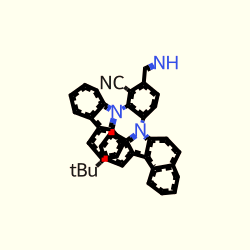 CC(C)(C)c1ccc2c(c1)c1c3ccccc3ccc1n2-c1ccc(C=N)c(C#N)c1-n1c2ccccc2c2ccccc21